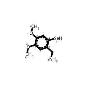 COc1cc([SeH])c(CN)cc1OC